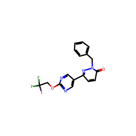 O=c1ccc(-c2cnc(OCC(F)(F)I)nc2)nn1Cc1ccccc1